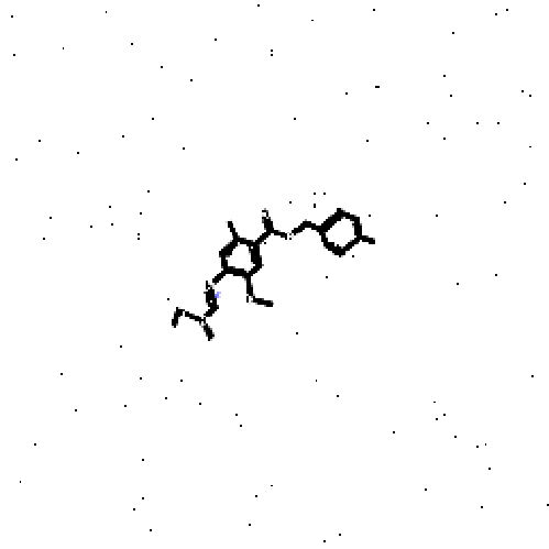 CCN(C)/C=N/c1cc(C)c(C(=O)OCc2ccc(C)cc2)cc1OC